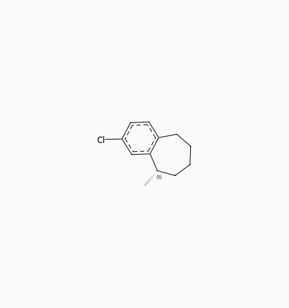 C[C@H]1CCCCc2ccc(Cl)cc21